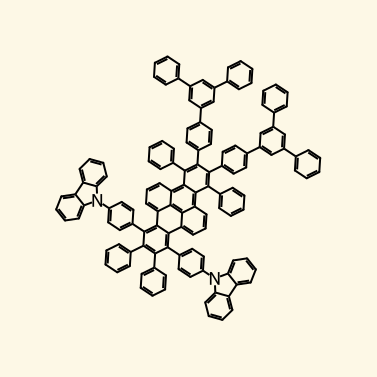 c1ccc(-c2cc(-c3ccccc3)cc(-c3ccc(-c4c(-c5ccc(-c6cc(-c7ccccc7)cc(-c7ccccc7)c6)cc5)c(-c5ccccc5)c5c6cccc7c8c(-c9ccc(-n%10c%11ccccc%11c%11ccccc%11%10)cc9)c(-c9ccccc9)c(-c9ccccc9)c(-c9ccc(-n%10c%11ccccc%11c%11ccccc%11%10)cc9)c8c8cccc(c5c4-c4ccccc4)c8c67)cc3)c2)cc1